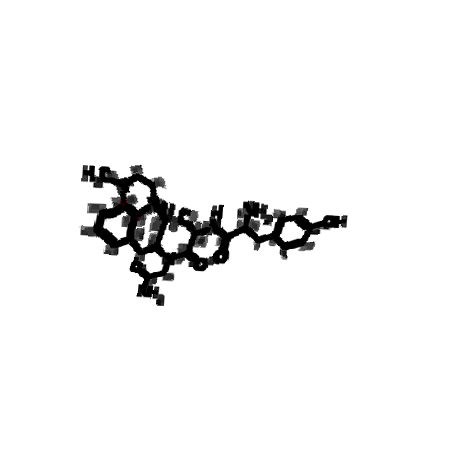 C[C@@H](NC(=O)[C@@H](N)Cc1ccc(O)cc1)C(=O)N(CC(N)=O)C(Cc1ccccc1)CN1CCN(C)CC1